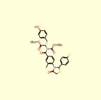 Cc1cc(C(=O)N(C(=O)OC(C)(C)C)[C@@H](Cc2ccc(O)cc2)C(=O)OC(C)(C)C)ccc1N1C(=O)CSC1c1ccc(F)cc1